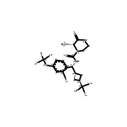 C[C@@H]1C(=O)NCCN1C(=O)N[C@@H](c1ccc(OC(F)(F)F)cc1F)[C@H]1C[C@H](C(F)(F)F)C1